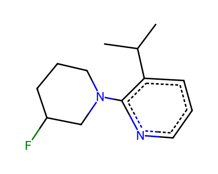 CC(C)c1cccnc1N1CCCC(F)C1